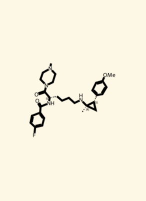 COc1ccc([C@@H]2C[C@@]2(C)NCCCC[C@H](NC(=O)c2ccc(F)cc2)C(=O)N2CCN(C)CC2)cc1